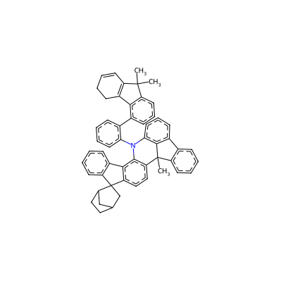 CC1(C)C2=C(CCC=C2)c2c(-c3ccccc3N3c4cccc5c4C(C)(c4ccccc4-5)c4ccc5c(c43)-c3ccccc3C53CC4CCC3C4)cccc21